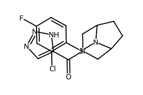 O=C(c1cnn[nH]1)N1CC2CCC(C1)N2Sc1ccc(F)cc1Cl